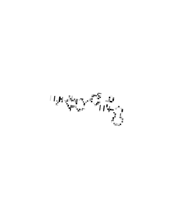 Nc1nc2ccc(-c3csc(C(=O)NC4CCc5ccccc54)c3)cn2n1